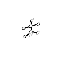 [Cl][GeH]([Cl])[Ge]([Cl])([Cl])[Cl]